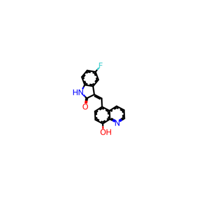 O=C1Nc2ccc(F)cc2C1=Cc1ccc(O)c2ncccc12